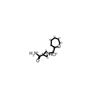 Cl.NC(=O)C1CN(CC2CCCCCO2)C1